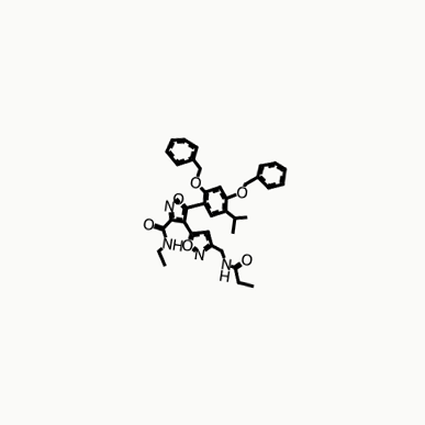 CCNC(=O)c1noc(-c2cc(C(C)C)c(OCc3ccccc3)cc2OCc2ccccc2)c1-c1cc(CNC(=O)CC)no1